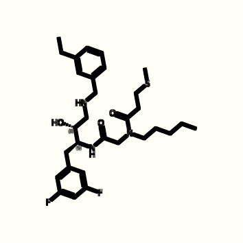 CCCCCN(CC(=O)N[C@@H](Cc1cc(F)cc(F)c1)[C@H](O)CNCc1cccc(CC)c1)C(=O)CCSC